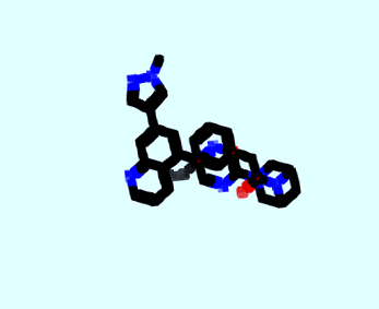 COc1cccc(CC(=O)N2C3CC2CN(c2cnc(-c4cc(-c5cnn(C)c5)cc5ncccc45)cn2)C3)c1